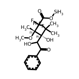 CO[C@](C)(C(F)(F)C(=O)O[SiH3])[C@](O)(C(O)C(=O)c1ccccc1)C(C)(C)C